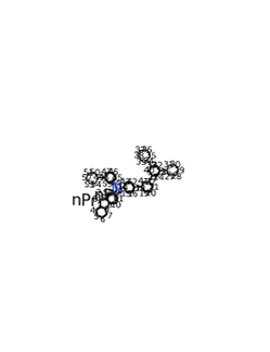 CCCC1(CCC)c2ccccc2-c2ccc(N(c3ccc(-c4cccc(-c5cc(C6CCCCC6)cc(C6CCCCC6)c5)c4)cc3)c3cccc(C4CCCCC4)c3)cc21